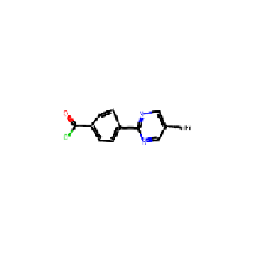 CCCc1cnc(-c2ccc(C(=O)Cl)cc2)nc1